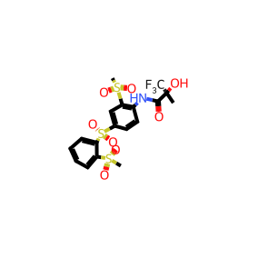 CC(O)(C(=O)Nc1ccc(S(=O)(=O)c2ccccc2S(C)(=O)=O)cc1S(C)(=O)=O)C(F)(F)F